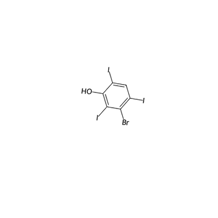 Oc1c(I)cc(I)c(Br)c1I